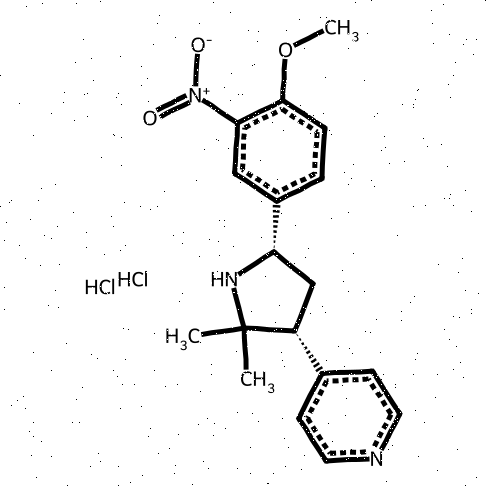 COc1ccc([C@@H]2C[C@H](c3ccncc3)C(C)(C)N2)cc1[N+](=O)[O-].Cl.Cl